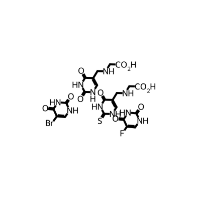 O=C(O)CNCc1c[nH]c(=O)[nH]c1=O.O=C(O)CNCc1c[nH]c(=S)[nH]c1=O.O=c1[nH]cc(Br)c(=O)[nH]1.O=c1[nH]cc(F)c(=O)[nH]1